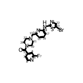 O=C(c1ccnc(F)c1)N1CCN(Cc2cccc(Nc3ncc(Br)s3)n2)CC1